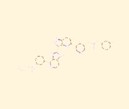 CN(C)CCNc1cc(F)cc(-c2nccc3[nH]c(-c4n[nH]c5ccc(-c6cncc(CNCc7ccccc7)c6)nc45)nc23)c1